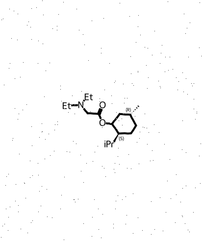 CCN(CC)CC(=O)OC1C[C@H](C)CC[C@H]1C(C)C